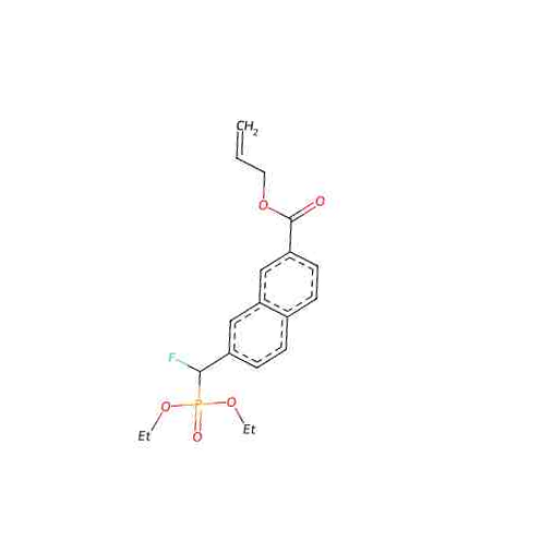 C=CCOC(=O)c1ccc2ccc(C(F)P(=O)(OCC)OCC)cc2c1